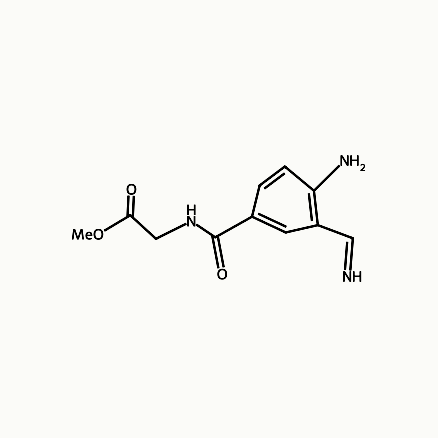 COC(=O)CNC(=O)c1ccc(N)c(C=N)c1